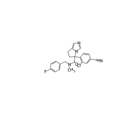 CN(Cc1ccc(F)cc1)C(=O)C1(c2ccc(C#N)cc2Cl)CCc2cncn21